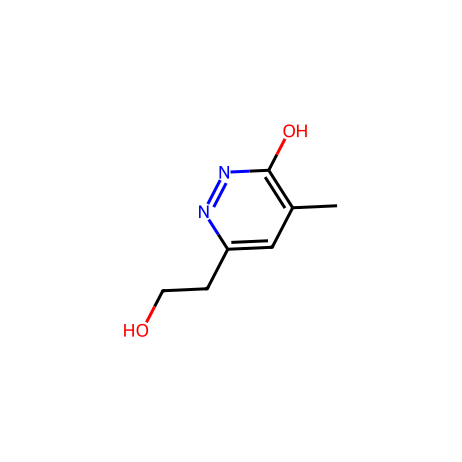 Cc1cc(CCO)nnc1O